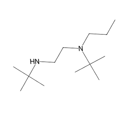 CCCN(CCNC(C)(C)C)C(C)(C)C